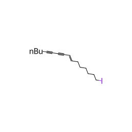 CCCCC#CC#C/C=C/CCCCCCI